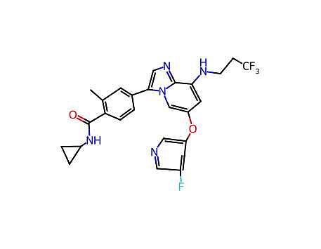 Cc1cc(-c2cnc3c(NCCC(F)(F)F)cc(Oc4cncc(F)c4)cn23)ccc1C(=O)NC1CC1